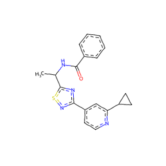 CC(NC(=O)c1ccccc1)c1nc(-c2ccnc(C3CC3)c2)ns1